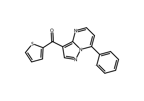 O=C(c1cccs1)c1cnn2c(-c3[c]cccc3)ccnc12